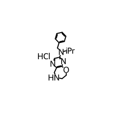 CC(C)N(Cc1ccccc1)c1cnc2c(n1)OCCNC2.Cl